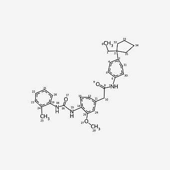 CCC1(c2ccc(NC(=O)Cc3ccc(NC(=O)Nc4ccccc4C)c(OC)c3)cc2)CCCC1